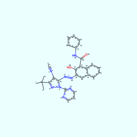 [C-]#[N+]c1c(C(C)(C)C)nn(-c2ncccn2)c1/N=N/c1cc2ccccc2c(C(=O)Nc2ccccc2)c1O